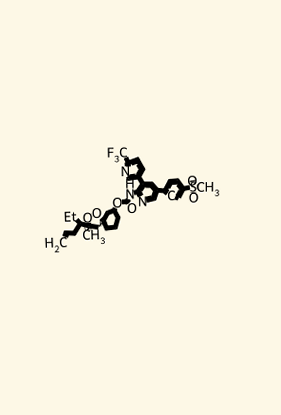 C=CCC(CC)[C@]1(C)C[C@]2(CCCC(OC(=O)Nc3ncc(-c4ccc(S(C)(=O)=O)cc4)cc3-c3ccc(C(F)(F)F)nc3)C2)OO1